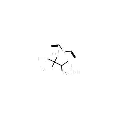 C=CNC=C.COC(C)C([SiH3])(OC)OC.N.N